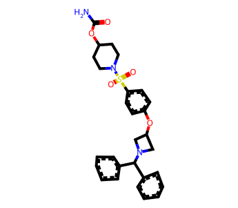 NC(=O)OC1CCN(S(=O)(=O)c2ccc(OC3CN(C(c4ccccc4)c4ccccc4)C3)cc2)CC1